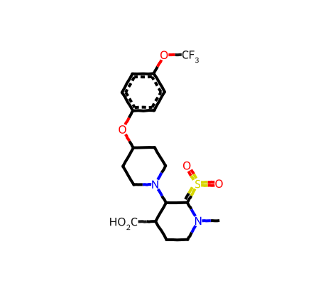 CN1CCC(C(=O)O)C(N2CCC(Oc3ccc(OC(F)(F)F)cc3)CC2)C1=S(=O)=O